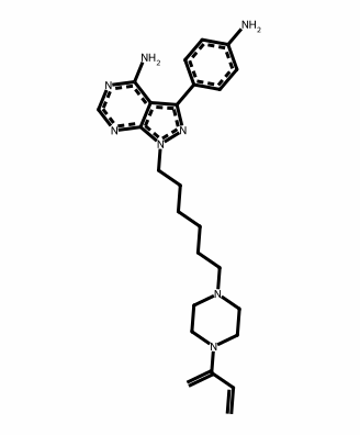 C=CC(=C)N1CCN(CCCCCCn2nc(-c3ccc(N)cc3)c3c(N)ncnc32)CC1